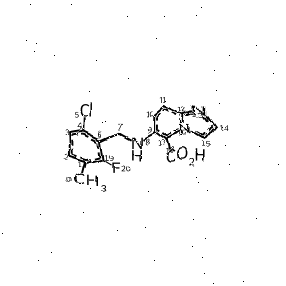 Cc1ccc(Cl)c(CNc2ccc3nccn3c2C(=O)O)c1F